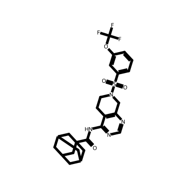 O=C(Nc1ncnc2c1CCN(S(=O)(=O)c1cccc(OC(F)(F)F)c1)C2)C12CC3CC(CC(C3)C1)C2